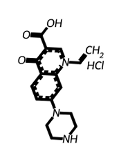 C=Cn1cc(C(=O)O)c(=O)c2ccc(N3CCNCC3)cc21.Cl